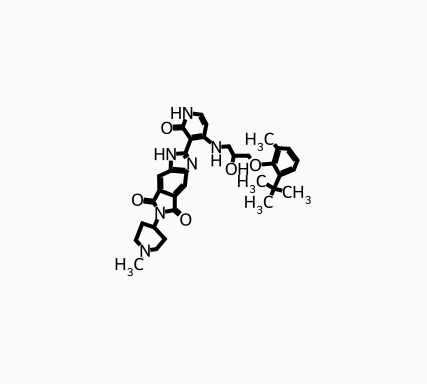 Cc1cccc(C(C)(C)C)c1OCC(O)CNc1cc[nH]c(=O)c1-c1nc2cc3c(cc2[nH]1)C(=O)N(C1CCN(C)CC1)C3=O